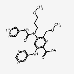 COCCCN(C(=O)Nc1cn[nH]c1)c1cc(Nc2cncnc2)c(C(=O)O)nc1COC